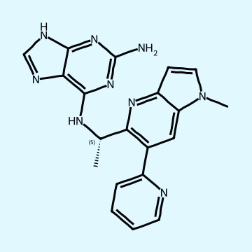 C[C@H](Nc1nc(N)nc2[nH]cnc12)c1nc2ccn(C)c2cc1-c1ccccn1